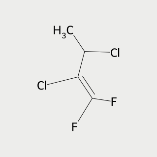 CC(Cl)C(Cl)=C(F)F